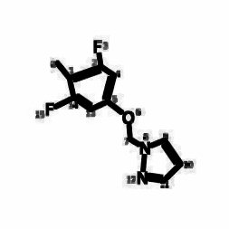 Cc1c(F)cc(OCn2cccn2)cc1F